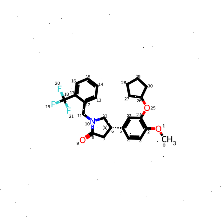 COc1ccc([C@@H]2CC(=O)N(Cc3ccccc3C(F)(F)F)C2)cc1OC1CCCC1